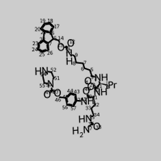 CC(C)[C@H](NC(=O)CCCCCNC(=O)OCC1c2ccccc2-c2ccccc21)C(=O)N[C@@H](CCCNC(N)=O)C(=O)Nc1ccc(COC(=O)N2CCNCC2)cc1